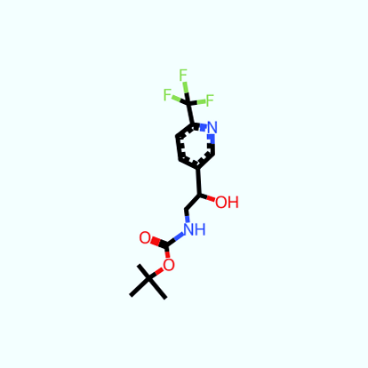 CC(C)(C)OC(=O)NCC(O)c1ccc(C(F)(F)F)nc1